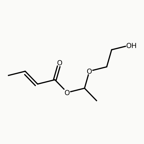 CC=CC(=O)OC(C)OCCO